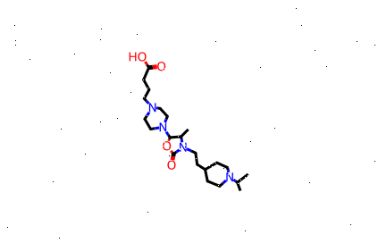 CC(C)N1CCC(CCN2C(=O)OC(N3CCN(CCCC(=O)O)CC3)C2C)CC1